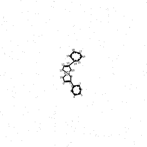 C1=C(c2ccccc2)C[Si]2(C1)CC=C(c1ccccc1)C2